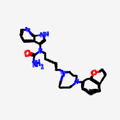 NC(=O)N(CCCCN1CCN(c2cccc3c2OCC3)CC1)c1c[nH]c2ncccc12